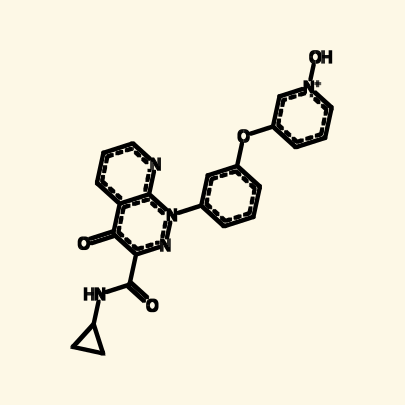 O=C(NC1CC1)c1nn(-c2cccc(Oc3ccc[n+](O)c3)c2)c2ncccc2c1=O